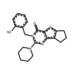 N#Cc1ccccc1Cn1c(N2CCCCC2)nc2c3c(sc2c1=O)CCC3